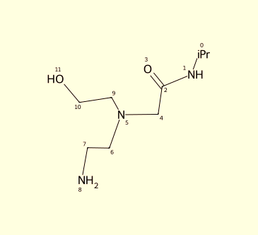 CC(C)NC(=O)CN(CCN)CCO